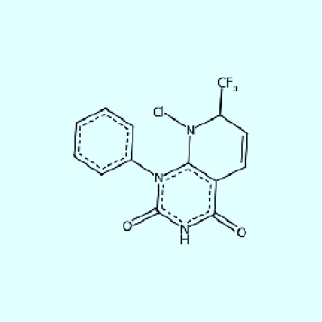 O=c1[nH]c(=O)n(-c2ccccc2)c2c1C=CC(C(F)(F)F)N2Cl